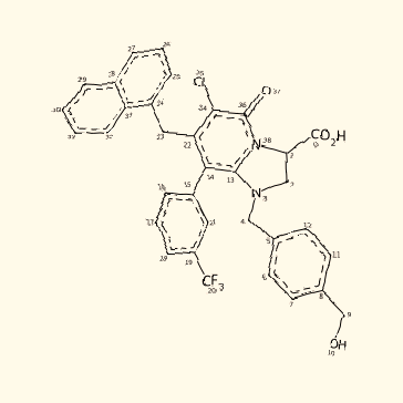 O=C(O)C1CN(Cc2ccc(CO)cc2)c2c(-c3cccc(C(F)(F)F)c3)c(Cc3cccc4ccccc34)c(Cl)c(=O)n21